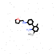 Cc1ccc(C(=O)O)c(N)c1-c1cccc(NCC2CCCO2)c1